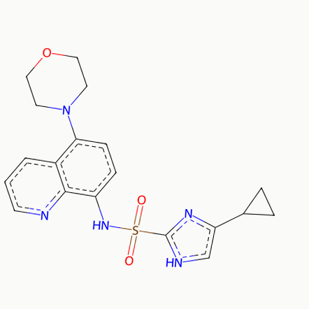 O=S(=O)(Nc1ccc(N2CCOCC2)c2cccnc12)c1nc(C2CC2)c[nH]1